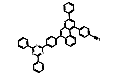 N#Cc1ccc(-c2cc(-c3ccccc3)nc3cc(-c4ccc(-c5nc(-c6ccccc6)nc(-c6ccccc6)n5)cc4)c4ccccc4c23)cc1